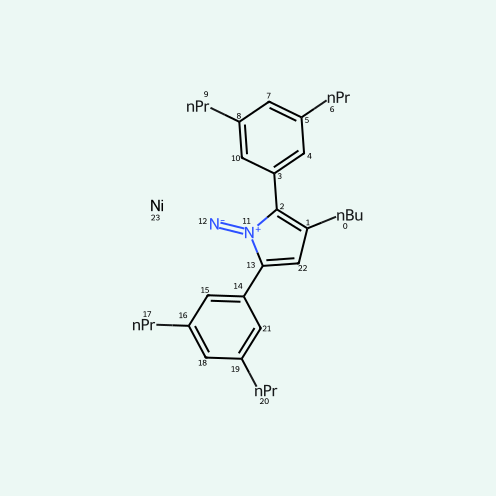 CCCCC1=C(c2cc(CCC)cc(CCC)c2)[N+](=[N-])C(c2cc(CCC)cc(CCC)c2)=C1.[Ni]